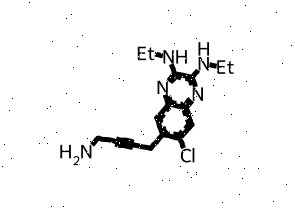 CCNc1nc2cc(Cl)c(CC#CCN)cc2nc1NCC